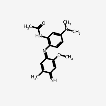 COC1=CC(=N)C(C)=CC1=Nc1ccc(N(C)C)cc1NC(C)=O